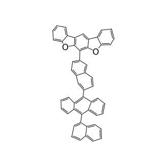 c1ccc2c(-c3c4ccccc4c(-c4ccc5cc(-c6c7oc8ccccc8c7cc7c6oc6ccccc67)ccc5c4)c4ccccc34)cccc2c1